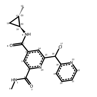 CNC(=O)c1cc(C(=O)N[C@H]2C[C@@H]2C)cc(C(Cl)c2ccccn2)n1